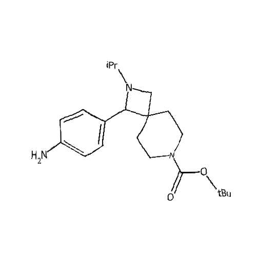 CC(C)N1CC2(CCN(C(=O)OC(C)(C)C)CC2)C1c1ccc(N)cc1